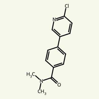 CN(C)C(=O)c1ccc(-c2ccc(Cl)nc2)cc1